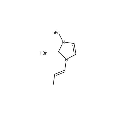 Br.CC=CN1C=CN(CCC)C1